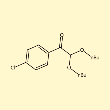 CCCCOC(OCCCC)C(=O)c1ccc(Cl)cc1